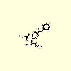 NC(=O)C[C@H](NC(=O)[C@@H](N)Cc1ccccc1)C(=O)N[C@@H](CC(=O)O)C(=O)O